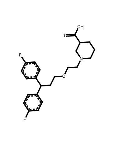 O=C(O)C1CCCN(CCOCCC(c2ccc(F)cc2)c2ccc(F)cc2)C1